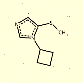 CSc1cncn1C1CCC1